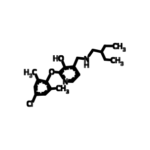 CCC(CC)CNCc1ccnc(Oc2c(C)cc(Cl)cc2C)c1O